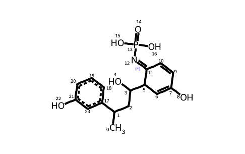 CC(CC(O)C1C=C(O)C=C/C1=N\P(=O)(O)O)c1cccc(O)c1